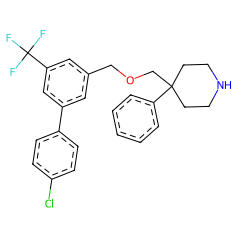 FC(F)(F)c1cc(COCC2(c3ccccc3)CCNCC2)cc(-c2ccc(Cl)cc2)c1